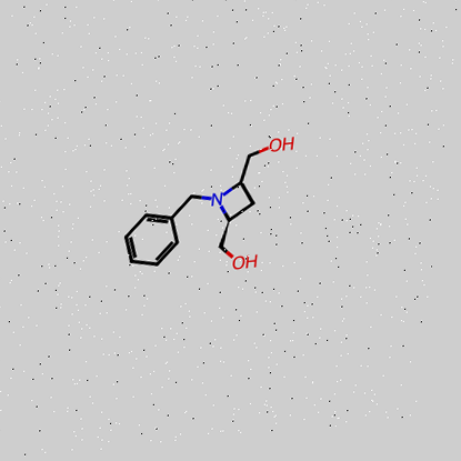 OCC1C[C@@H](CO)N1Cc1ccccc1